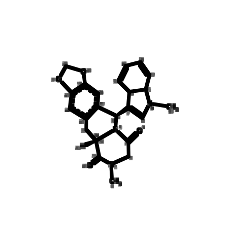 CN1CC(=O)N2[C@H](C3=CN(C)C4C=CC=CC34)c3cc4c(cc3C[C@H]2C1=O)OCO4